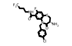 N[C@H]1CSc2cc(F)c(C(=O)NCCCC(F)(F)F)cc2N(Cc2ccc(Cl)cc2)C1=O